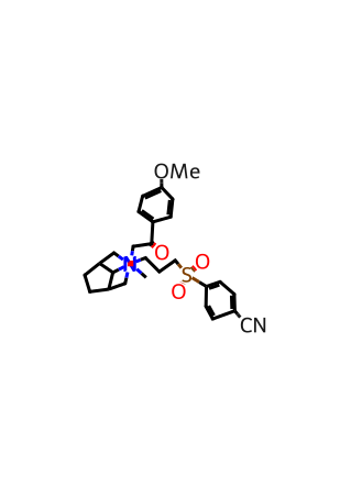 COc1ccc(C(=O)CN(C)C2C3CCC2CN(CCCS(=O)(=O)c2ccc(C#N)cc2)C3)cc1